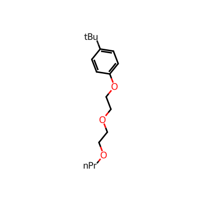 CCCOCCOCCOc1ccc(C(C)(C)C)cc1